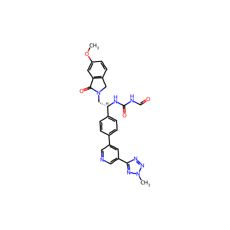 COc1ccc2c(c1)C(=O)N(C[C@H](NC(=O)NC=O)c1ccc(-c3cncc(-c4nnn(C)n4)c3)cc1)C2